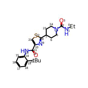 CCNC(=O)N1CCC(c2nc(C(=O)Nc3ccccc3C(C)(C)C)cs2)CC1